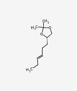 CCC=CCCC1COC(C)(C)O1